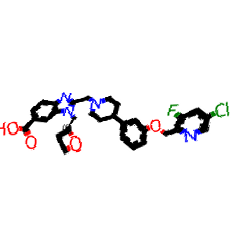 O=C(O)c1ccc2nc(CN3CCC(c4cccc(OCc5ncc(Cl)cc5F)c4)CC3)n(C[C@@H]3CCO3)c2c1